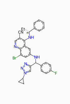 CC[C@@H](Nc1c(C#N)cnc2c(Br)cc(NC(c3ccc(F)cc3)c3cn(C4CC4)nn3)cc12)c1ccccc1